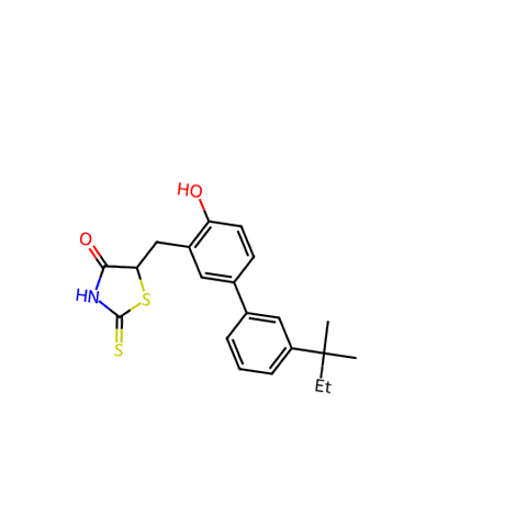 CCC(C)(C)c1cccc(-c2ccc(O)c(CC3SC(=S)NC3=O)c2)c1